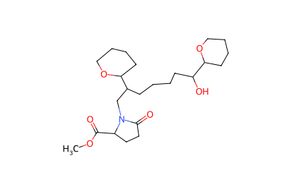 COC(=O)C1CCC(=O)N1CC(CCCCC(O)C1CCCCO1)C1CCCCO1